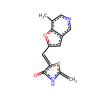 C=c1[nH]c(=O)/c(=C/c2cc3cncc(C)c3o2)s1